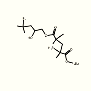 CCC(C)(C)CC(O)COC(=O)C(C)(C)CC(C)(P)C(=O)OC(C)(C)C